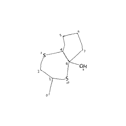 CC1CSC2CCCC2(O)S1